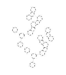 c1ccc(-c2nc(-c3cccc(-c4ccc(-c5nc(-c6ccccc6)nc(-c6ccc7sc8ccc9c(sc%10cccc(-n%11c%12ccccc%12c%12ccccc%12%11)c%109)c8c7c6)n5)cc4)c3)nc(-c3ccc4sc5c(ccc6c5sc5cccc(-n7c8ccccc8c8ccccc87)c56)c4c3)n2)cc1